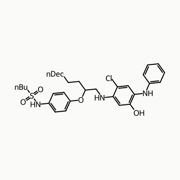 CCCCCCCCCCCCC(CNc1cc(O)c(Nc2ccccc2)cc1Cl)Oc1ccc(NS(=O)(=O)CCCC)cc1